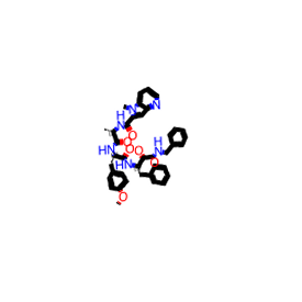 COc1ccc(C[C@H](NC(=O)[C@H](C)NC(=O)c2cc3ncccc3n2C)C(=O)N[C@@H](Cc2ccccc2)C(=O)C(=O)NCc2ccccc2)cc1